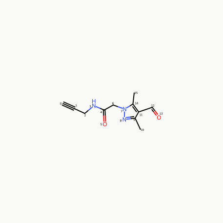 C#CCNC(=O)Cn1nc(C)c(C=O)c1C